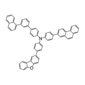 c1cc(-c2ccc(N(c3ccc(-c4ccc5c(ccc6ccccc65)c4)cc3)c3ccc(-c4ccc5oc6ccccc6c5c4)cc3)cc2)cc(-c2cccc3ccccc23)c1